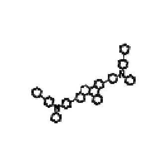 c1ccc(-c2ccc(N(c3ccccc3)c3ccc(-c4ccc5c(c4)CCc4c-5c5ccccc5c5cc(-c6ccc(N(c7ccccc7)c7ccc(-c8ccccc8)cc7)cc6)ccc45)cc3)cc2)cc1